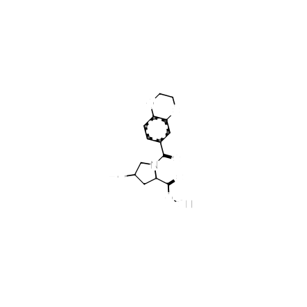 COC(=O)C1CC(O)CN1C(=O)c1ccc2c(c1)OCCO2